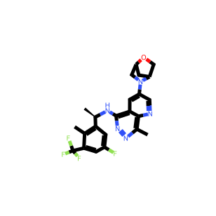 Cc1c([C@@H](C)Nc2nnc(C)c3ncc(N4CC5CC4CO5)cc23)cc(F)cc1C(F)(F)F